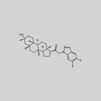 C[C@@]1(O)CC[C@@]2(C)[C@H](CC[C@@H]3[C@@H]2CC[C@]2(C)[C@@H](C(=O)Cn4ncc5cc(F)c(F)cc54)CC[C@@H]32)C1